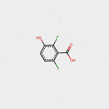 O=C(O)c1c(F)ccc(O)c1F